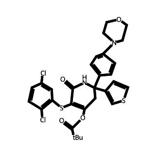 CC(C)(C)C(=O)OC1=C(Sc2cc(Cl)ccc2Cl)C(=O)NC(c2ccc(N3CCOCC3)cc2)(c2ccsc2)C1